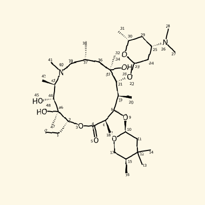 CC[C@H]1OC(=O)[C@H](C)C(O[C@H]2CC(C)(C)[C@@H](C)CO2)[C@H](C)[C@@H](OC2C[C@@H](N(C)C)C[C@@H](C)O2)[C@](C)(O)C[C@@H](C)CN(C)[C@H](C)[C@@H](O)[C@]1(C)O